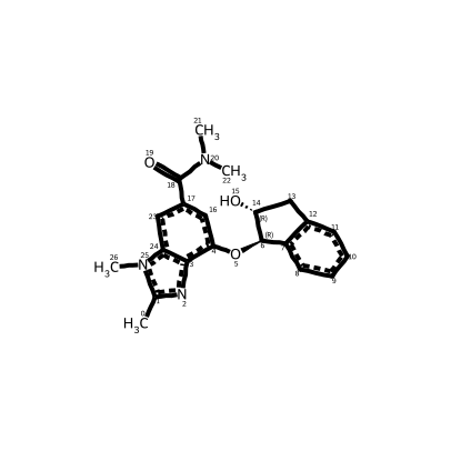 Cc1nc2c(O[C@@H]3c4ccccc4C[C@H]3O)cc(C(=O)N(C)C)cc2n1C